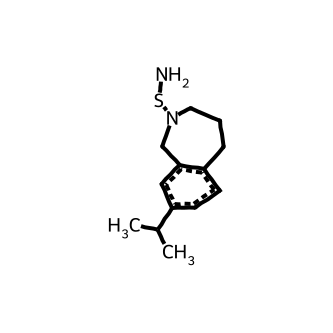 CC(C)c1ccc2c(c1)CN(SN)CCC2